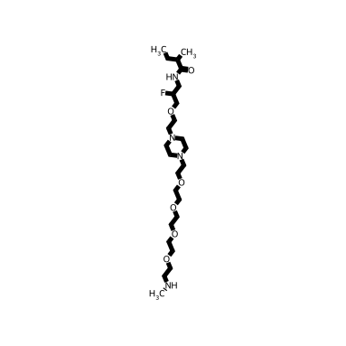 CCC(C)C(=O)NCC(F)COCCN1CCN(CCOCCOCCOCCOCCNC)CC1